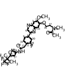 COc1cc2ncc(-c3ccc(CC(=O)Nc4cc(C(C)(C)C(F)(F)F)on4)c(F)c3)nc2cc1OCCN(C)C(C)=O